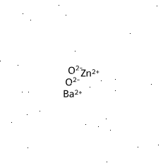 [Ba+2].[O-2].[O-2].[Zn+2]